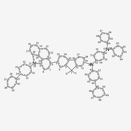 CC1(C)c2cc(-c3ccc4c5c3ccc3cccc(c35)n4-c3ccc(-c4ccccc4)cc3)ccc2-c2ccc(N(c3ccc(-c4ccccc4)cc3)c3ccc(N(c4ccccc4)c4ccccc4)cc3)cc21